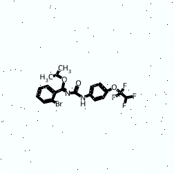 CC(C)OC(=NC(=O)Nc1ccc(OC(F)(F)C(F)F)cc1)c1ccccc1Br